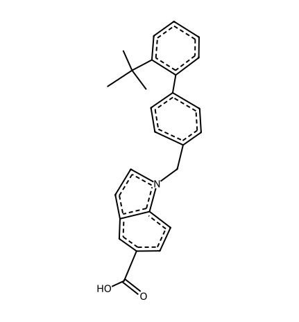 CC(C)(C)c1ccccc1-c1ccc(Cn2ccc3cc(C(=O)O)ccc32)cc1